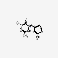 COC(=O)/C(=C/c1cccc(O)c1)NC(C)=O